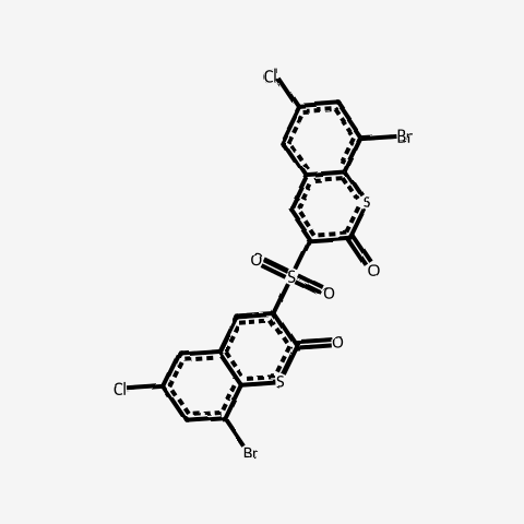 O=c1sc2c(Br)cc(Cl)cc2cc1S(=O)(=O)c1cc2cc(Cl)cc(Br)c2sc1=O